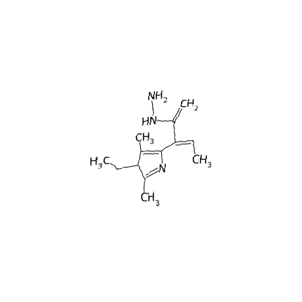 C=C(NN)/C(=C/C)C1=C(C)C(CC)C(C)=N1